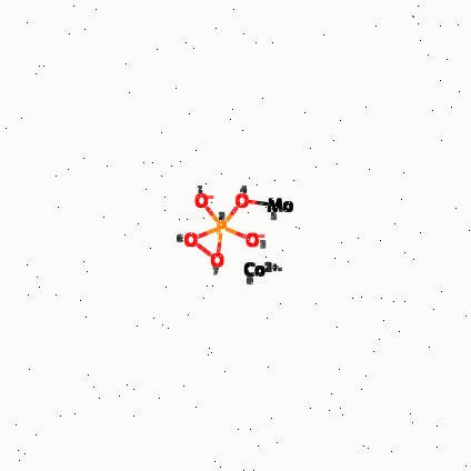 [Co+2].[O-]P1([O-])([O][Mo])OO1